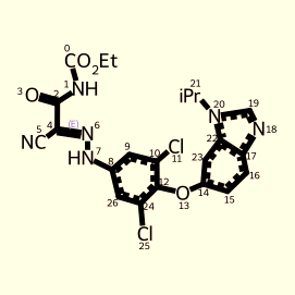 CCOC(=O)NC(=O)/C(C#N)=N/Nc1cc(Cl)c(Oc2ccc3ncn(C(C)C)c3c2)c(Cl)c1